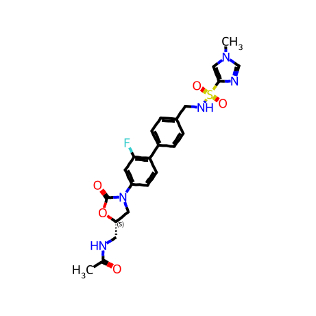 CC(=O)NC[C@H]1CN(c2ccc(-c3ccc(CNS(=O)(=O)c4cn(C)cn4)cc3)c(F)c2)C(=O)O1